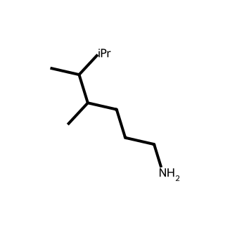 CC(C)C(C)C(C)CCCN